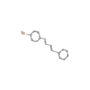 Brc1ccc(/C=C/C=C/c2ccccc2)cc1